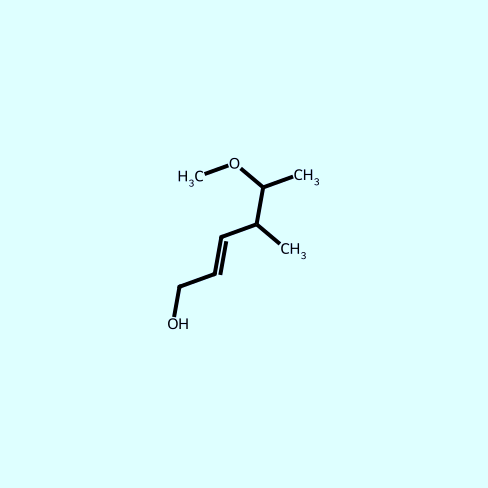 COC(C)C(C)C=CCO